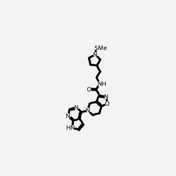 CSN1CCC(CCNC(=O)c2noc3c2CN(c2ncnc4[nH]ccc24)CC3)C1